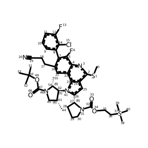 CSc1nc2c(F)c(-c3cccc(F)c3Cl)c(CCC#N)cc2c2c1cc([C@H]1CCCN1C(=O)OCCS(C)(C)C)n2[C@H]1[C@H](C)CN(C(=O)OC(C)(C)C)[C@@H]1C